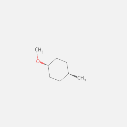 CO[C@H]1CC[C@@H](C)CC1